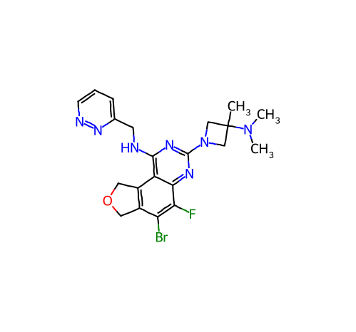 CN(C)C1(C)CN(c2nc(NCc3cccnn3)c3c4c(c(Br)c(F)c3n2)COC4)C1